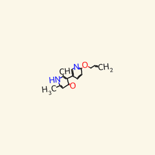 C=CCOc1ccc(-c2c(C)[nH]c(C)cc2=O)cn1